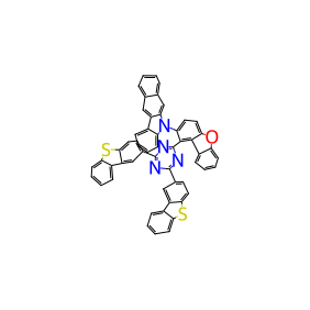 c1ccc2cc3c(cc2c1)c1ccccc1n3-c1ccc2oc3ccccc3c2c1-c1nc(-c2ccc3sc4ccccc4c3c2)nc(-c2ccc3sc4ccccc4c3c2)n1